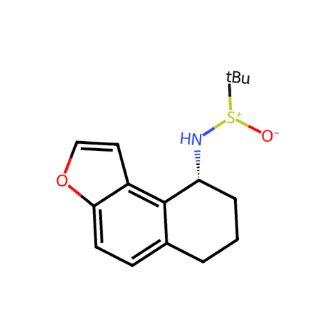 CC(C)(C)[S+]([O-])N[C@@H]1CCCc2ccc3occc3c21